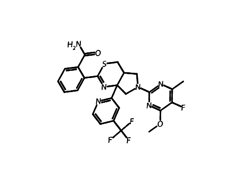 COc1nc(N2CC3CSC(c4ccccc4C(N)=O)=NC3(c3cc(C(F)(F)F)ccn3)C2)nc(C)c1F